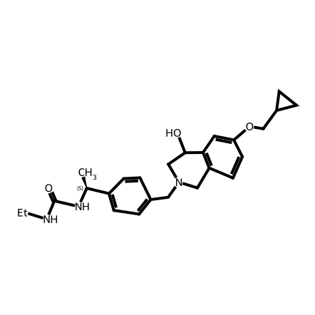 CCNC(=O)N[C@@H](C)c1ccc(CN2Cc3ccc(OCC4CC4)cc3C(O)C2)cc1